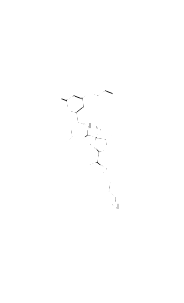 C=CCOc1cc([C@@H](CCC)NC(=O)[C@]2(N)CSC(/C(C)=N/OCCCN)=N2)oc(=O)c1